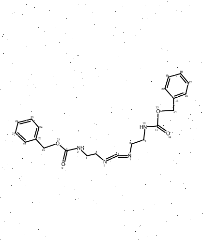 O=C(NCCN=C=NCCNC(=O)OCc1ccccc1)OCc1ccccc1